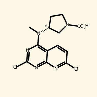 CN(c1nc(Cl)nc2nc(Cl)ccc12)[C@@H]1CCN(C(=O)O)C1